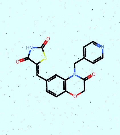 O=C1NC(=O)C(=Cc2ccc3c(c2)N(Cc2ccncc2)C(=O)CO3)S1